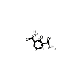 NC(=O)c1cccc(C(N)=O)c1[O]